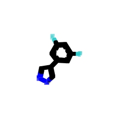 Fc1cc(F)cc(C2=C[N]N=C2)c1